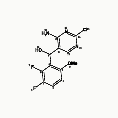 COc1ccc(F)c(F)c1C(O)c1cnc(Cl)nc1N